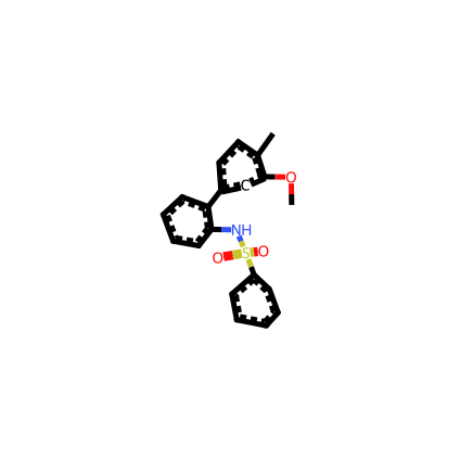 COc1cc(-c2ccccc2NS(=O)(=O)c2ccccc2)ccc1C